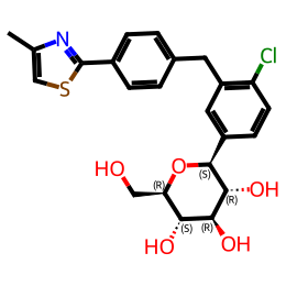 Cc1csc(-c2ccc(Cc3cc([C@@H]4O[C@H](CO)[C@@H](O)[C@H](O)[C@H]4O)ccc3Cl)cc2)n1